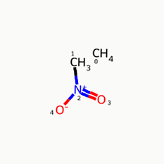 C.C[N+](=O)[O-]